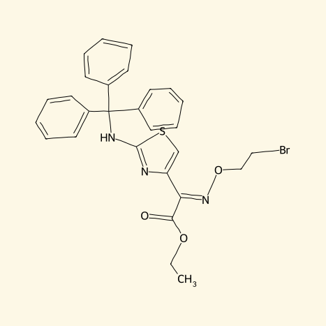 CCOC(=O)/C(=N/OCCBr)c1csc(NC(c2ccccc2)(c2ccccc2)c2ccccc2)n1